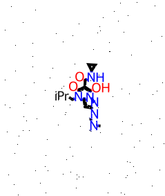 CC(C)Cn1c(=O)c(C(=O)NC2CC2)c(O)n2nc(/N=C/N(C)C)cc12